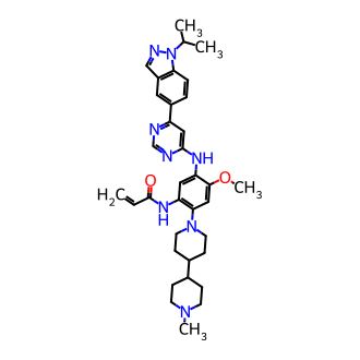 C=CC(=O)Nc1cc(Nc2cc(-c3ccc4c(cnn4C(C)C)c3)ncn2)c(OC)cc1N1CCC(C2CCN(C)CC2)CC1